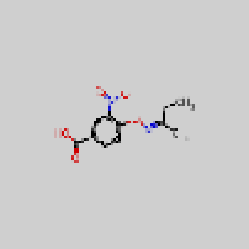 CCC(C)=NOc1ccc(C(=O)O)cc1[N+](=O)[O-]